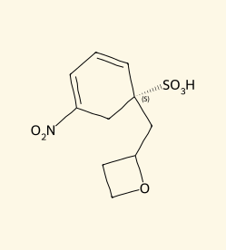 O=[N+]([O-])C1=CC=C[C@](CC2CCO2)(S(=O)(=O)O)C1